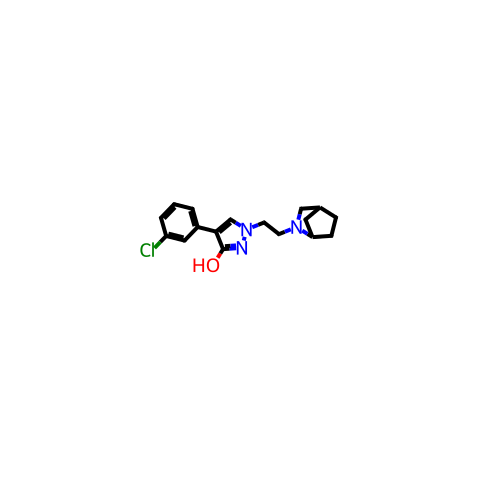 Oc1nn(CCN2CC3CCC2C3)cc1-c1cccc(Cl)c1